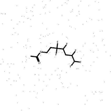 CC(=O)SCCC(F)(F)C(F)CC(F)C(F)F